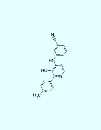 Cc1ccc(-c2ncnc(Nc3cccc(C#N)c3)c2O)cc1